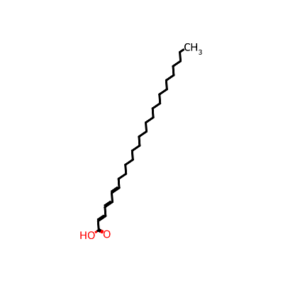 CCCCCCCCCCCCCCCCCCCC/C=C/C=C/C=C/C(=O)O